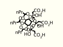 CCCC(=O)O[C@@H]1[C@@H](OC(=O)CCC)[C@H](OP(=O)(O)CC(=O)O)[C@@H](OP(=O)(O)CC(=O)O)[C@@H](OP(=O)(O)CC(=O)O)[C@H]1OC(=O)CCC